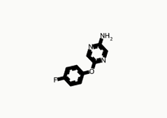 Nc1cnc(Oc2ccc(F)cc2)cn1